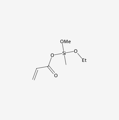 C=CC(=O)O[Si](C)(OC)OCC